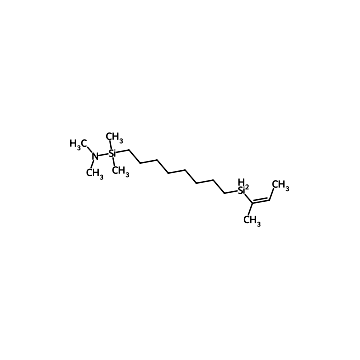 CC=C(C)[SiH2]CCCCCCCC[Si](C)(C)N(C)C